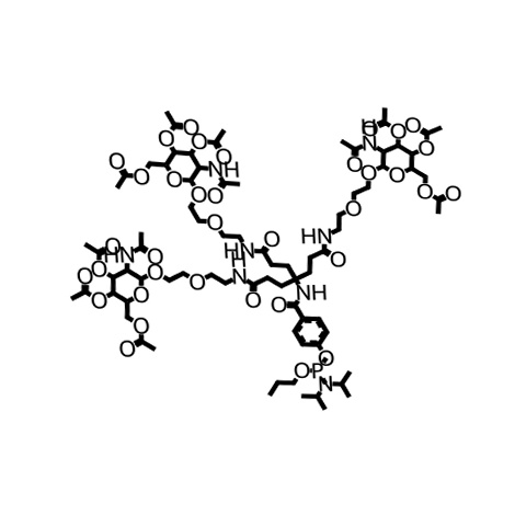 CCCOP(Oc1ccc(C(=O)NC(CCC(=O)NCCOCCOC2OC(COC(C)=O)C(OC(C)=O)C(OC(C)=O)C2NC(C)=O)(CCC(=O)NCCOCCOC2OC(COC(C)=O)C(OC(C)=O)C(OC(C)=O)C2NC(C)=O)CCC(=O)NCCOCCOC2OC(COC(C)=O)C(OC(C)=O)C(OC(C)=O)C2NC(C)=O)cc1)N(C(C)C)C(C)C